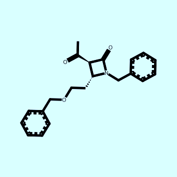 CC(=O)[C@H]1C(=O)N(Cc2ccccc2)[C@@H]1CCOCc1ccccc1